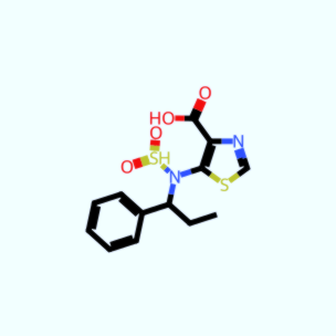 CCC(c1ccccc1)N(c1scnc1C(=O)O)[SH](=O)=O